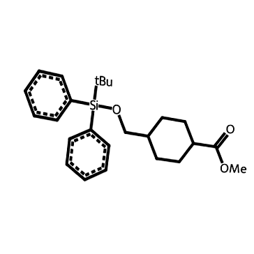 COC(=O)C1CCC(CO[Si](c2ccccc2)(c2ccccc2)C(C)(C)C)CC1